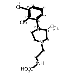 C[C@@H]1CN(CCNC(=O)O)CCN1c1cccc(Cl)c1Cl